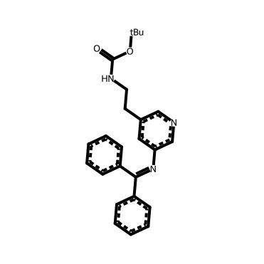 CC(C)(C)OC(=O)NCCc1cncc(N=C(c2ccccc2)c2ccccc2)c1